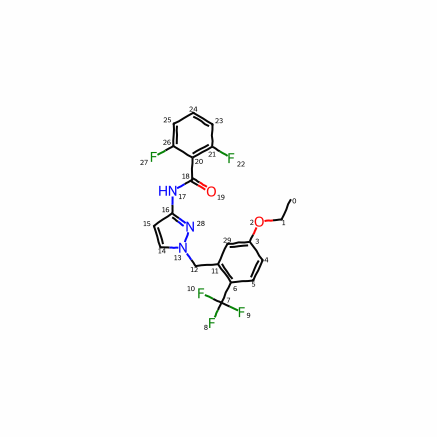 CCOc1ccc(C(F)(F)F)c(Cn2ccc(NC(=O)c3c(F)cccc3F)n2)c1